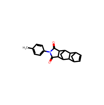 Cc1ccc(N2C(=O)C3C4CC(C3C2=O)C2C3C=CC(C3)C42)cc1